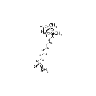 C[Si](C)(C)O[Si](C)(C)CCCCCCCCCCC(=O)O[SiH3]